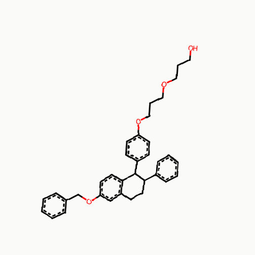 OCCCOCCCOc1ccc(C2c3ccc(OCc4ccccc4)cc3CCC2c2ccccc2)cc1